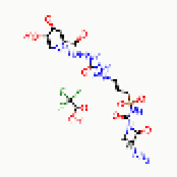 N[C@H]1CN(C(=O)NS(=O)(=O)CC=CNNC(=O)NNC(=O)c2cc(=O)c(O)c[nH]2)C1=O.O=C(O)C(F)(F)F